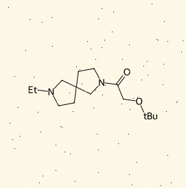 CCN1CCC2(CCN(C(=O)COC(C)(C)C)C2)C1